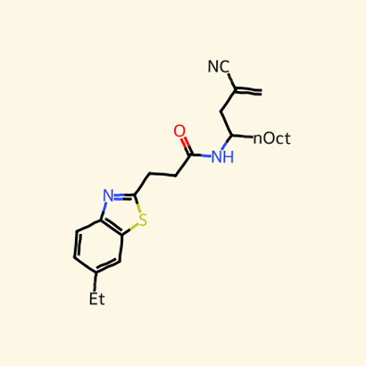 C=C(C#N)CC(CCCCCCCC)NC(=O)CCc1nc2ccc(CC)cc2s1